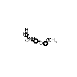 COc1cccc(OCC2CCC(CNC(=O)c3cn[nH]c3)CC2)c1